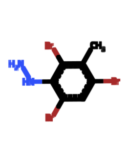 Cc1c(Br)cc(Br)c(NN)c1Br